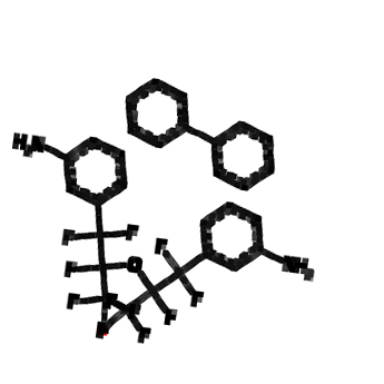 Nc1cccc(C(F)(F)C(F)(OC(F)(C(F)(F)F)C(F)(F)c2cccc(N)c2)C(F)(F)F)c1.c1ccc(-c2ccccc2)cc1